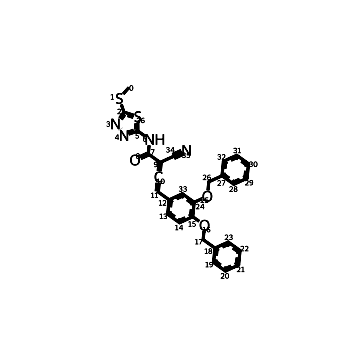 CSc1nnc(NC(=O)C(=C=Cc2ccc(OCc3ccccc3)c(OCc3ccccc3)c2)C#N)s1